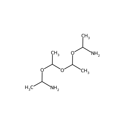 CC(N)OC(C)OC(C)OC(C)N